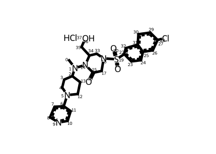 CN(C1CCN(c2ccncc2)CC1)N1C(=O)CN(S(=O)(=O)c2ccc3cc(Cl)ccc3c2)CC1CO.Cl